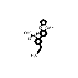 CC#CCc1ccc(N(C=O)C(C=O)CC)c(-c2ccc(OC)c(OC3CCCC3)c2)c1